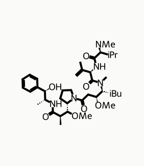 C=C(C)[C@H](NC(=O)[C@@H](NC)C(C)C)C(=O)N(C)[C@@H]([C@@H](C)CC)[C@@H](CC(=O)N1CCC[C@H]1C(OC)[C@@H](C)C(=O)N[C@H](C)[C@@H](O)c1ccccc1)OC